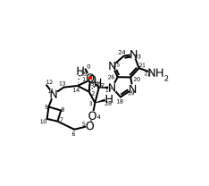 CO[C@H]1[C@H]2OOCC3CC(C3)N(C)C[C@H]1O[C@H]2n1cnc2c(N)ncnc21